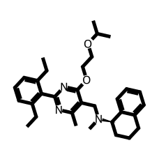 CCc1cccc(CC)c1-c1nc(C)c(CN(C)[C@@H]2CCCc3ccccc32)c(OCCOC(C)C)n1